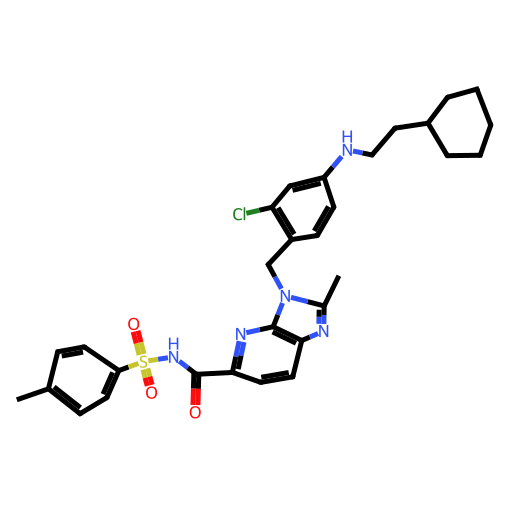 Cc1ccc(S(=O)(=O)NC(=O)c2ccc3nc(C)n(Cc4ccc(NCCC5CCCCC5)cc4Cl)c3n2)cc1